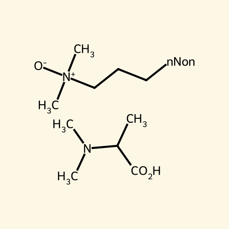 CC(C(=O)O)N(C)C.CCCCCCCCCCCC[N+](C)(C)[O-]